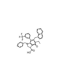 CCc1c(Cc2cccc3ccccc23)c(-c2cccc(C(F)(F)F)c2)c2n(c1=O)C(C(=O)O)CN2Cc1ccccc1